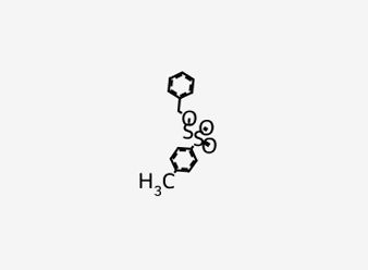 Cc1ccc(S(=O)(=O)SOCc2ccccc2)cc1